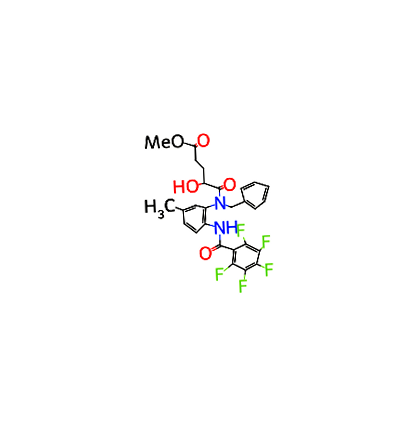 COC(=O)CCC(O)C(=O)N(Cc1ccccc1)c1cc(C)ccc1NC(=O)c1c(F)c(F)c(F)c(F)c1F